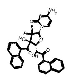 Nc1ccn([C@@H]2O[C@H](C(O)C(=O)c3cccc4ccccc34)[C@](O)(C(=O)c3cccc4ccccc34)C2(F)F)c(=O)n1